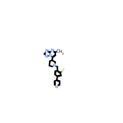 Cc1cc(C2CCCN(Cc3ccc(-c4ccncc4)cc3F)C2)n2ncnc2n1